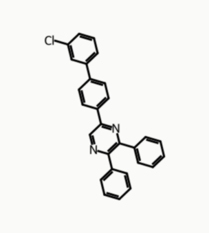 Clc1cccc(-c2ccc(-c3cnc(-c4ccccc4)c(-c4ccccc4)n3)cc2)c1